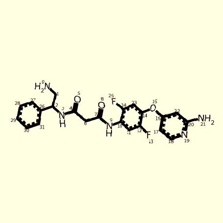 NCC(NC(=O)CC(=O)Nc1cc(F)c(Oc2ccnc(N)c2)cc1F)c1ccccc1